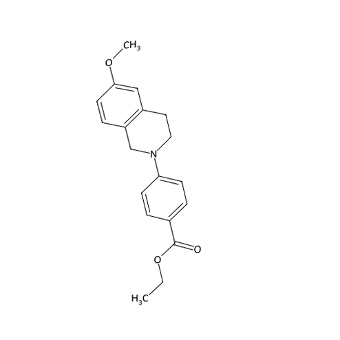 CCOC(=O)c1ccc(N2CCc3cc(OC)ccc3C2)cc1